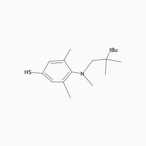 Cc1cc(S)cc(C)c1N(C)CC(C)(C)C(C)(C)C